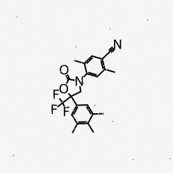 Cc1cc(N2CC(c3cc(C)c(C)c(C)c3)(C(F)(F)F)OC2=O)c(C)cc1C#N